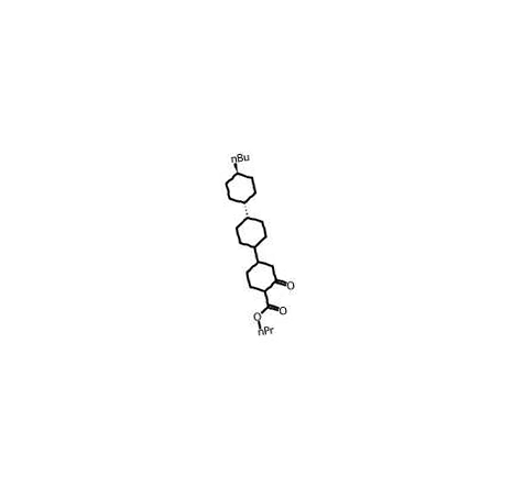 CCCC[C@H]1CC[C@H](C2CCC(C3CCC(C(=O)OCCC)C(=O)C3)CC2)CC1